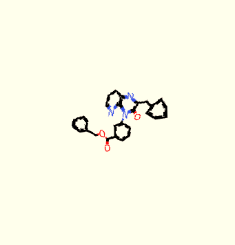 O=C(OCc1ccccc1)c1cccc(-n2c(=O)c(Cc3ccccc3)nc3cccnc32)c1